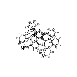 N#Cc1cc(C#N)c(-n2c3ccccc3c3ccccc32)c(-c2nc(-c3ccccc3)nc(-c3ccccc3)n2)c1B1c2ccccc2-c2ccccc2-c2ccccc21